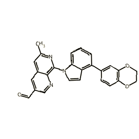 Cc1cc2cc(C=O)cnc2c(-n2ccc3c(-c4ccc5c(c4)OCCO5)cccc32)n1